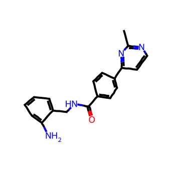 Cc1nccc(-c2ccc(C(=O)NCc3ccccc3N)cc2)n1